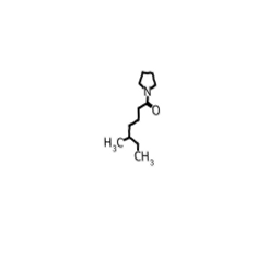 CCC(C)CCCC(=O)N1CCCC1